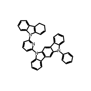 C1=Cc2c(c3ccccc3n2-c2cccc(-n3c4ccccc4c4cc5c(cc43)c3ccccc3n5-c3ccccc3)n2)CC1